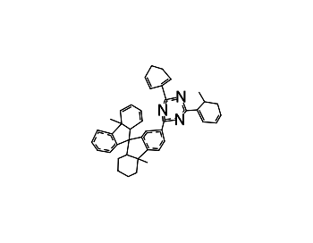 CC1CC=CC=C1c1nc(C2=CCCC=C2)nc(-c2ccc3c(c2)C2(c4ccccc4C4(C)C=CC=CC42)C2CCCCC32C)n1